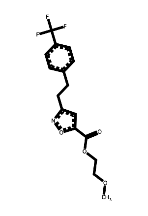 COCCOC(=O)c1cc(CCc2ccc(C(F)(F)F)cc2)no1